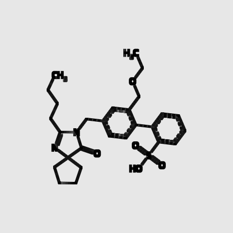 CCCCC1=NC2(CCCC2)C(=O)N1Cc1ccc(-c2ccccc2S(=O)(=O)O)c(COCC)c1